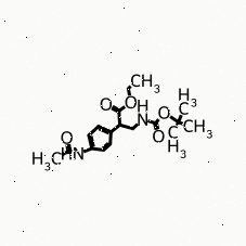 CCOC(=O)C(CNC(=O)OC(C)(C)C)c1ccc(NC(C)=O)cc1